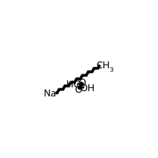 CCCCCCCCCCCCCCC[CH2][Na].O=S(=O)(O)O